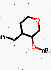 [CH2]C(C)CC1CCOCC1OCCCC